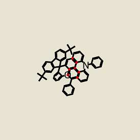 CC(C)(C)c1ccc2c(c1)C1(c3ccccc3Oc3c(-c4ccccc4N(c4ccccc4)c4ccccc4-c4ccc(-c5ccccc5)cc4)cccc31)c1cc(C(C)(C)C)ccc1-2